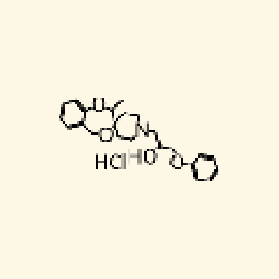 CC1Oc2ccccc2COC12CCN(CC(O)COc1ccccc1)CC2.Cl